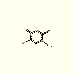 Cn1cc(Cl)c(=O)[nH]c1=O